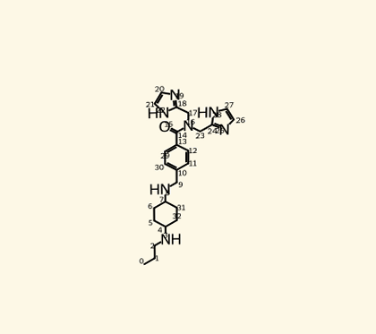 CCCNC1CCC(NCc2ccc(C(=O)N(Cc3ncc[nH]3)Cc3ncc[nH]3)cc2)CC1